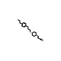 CCCc1ccc(CCCC[C@H]2CC[C@H](/C=C/C#N)CC2)cc1